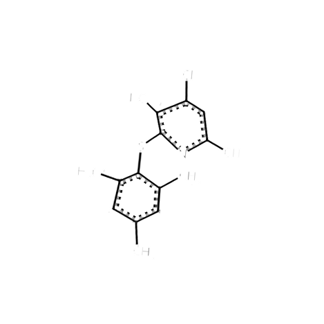 Cc1cc(C)c(Sc2nc(C)cc(Cl)c2C)c(C)c1